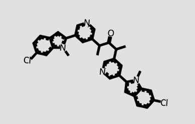 CC(C(=O)C(C)c1cncc(-c2cc3ccc(Cl)cc3n2C)c1)c1cncc(-c2cc3ccc(Cl)cc3n2C)c1